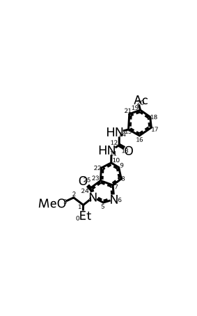 CCC(COC)n1cnc2ccc(NC(=O)Nc3cccc(C(C)=O)c3)cc2c1=O